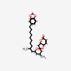 CC(CCCCCCCCc1ccc2c(c1)OCO2)CC1CC(C)CC2(CC3OC(=O)C=CC3O2)O1